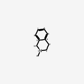 CN1CCc2c[c]ccc2C1